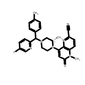 Cc1ccc(C(c2ccc(F)cn2)N2CCN(c3cc(=O)n(C)c4ccc(C#N)nc34)[C@@H](C)C2)cc1